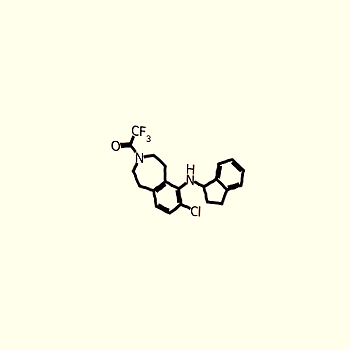 O=C(N1CCc2ccc(Cl)c(NC3CCc4ccccc43)c2CC1)C(F)(F)F